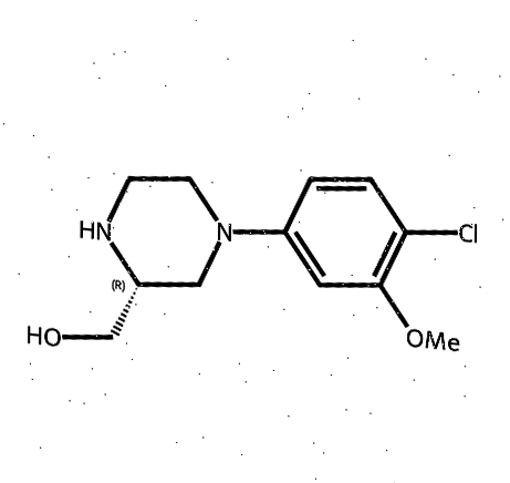 COc1cc(N2CCN[C@@H](CO)C2)ccc1Cl